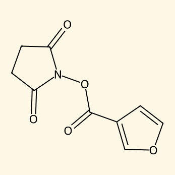 O=C(ON1C(=O)CCC1=O)c1ccoc1